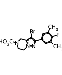 Cc1cc(-c2nn3c(c2Br)CN(C(=O)O)CC3)cc(C)c1F